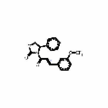 O=C(/C=C/c1cccc(OC(F)(F)F)c1)N1C(=O)OCC1c1ccccc1